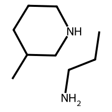 CC1CCCNC1.CCCN